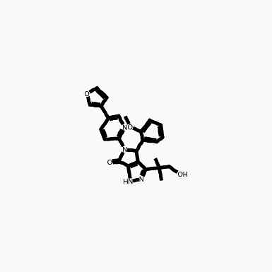 COc1ccccc1C1c2c(C(C)(C)CO)n[nH]c2C(=O)N1c1ccc(-c2ccoc2)cn1